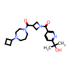 CC(C)(O)c1ccc(C(=O)N2CC(C(=O)N3CCCN(C4CCC4)CC3)C2)cn1